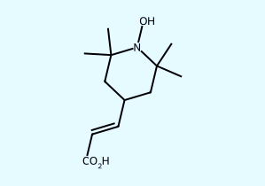 CC1(C)CC(C=CC(=O)O)CC(C)(C)N1O